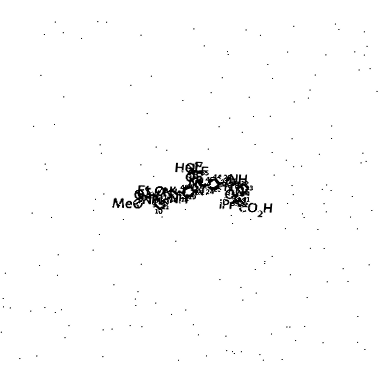 CC[C@H](NC(=O)OC)C(=O)N1CCC[C@H]1c1ncc(-c2ccc3nc(-c4ccc(-c5c[nH]c([C@@H]6CCCN6C(=O)[C@H](C(C)C)N(C)C(=O)O)n5)cc4)cnc3c2)[nH]1.O=C(O)C(F)(F)F